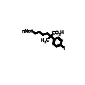 CCCCCCCCCCCCCC(C)(C(=O)O)c1ccc(I)cc1